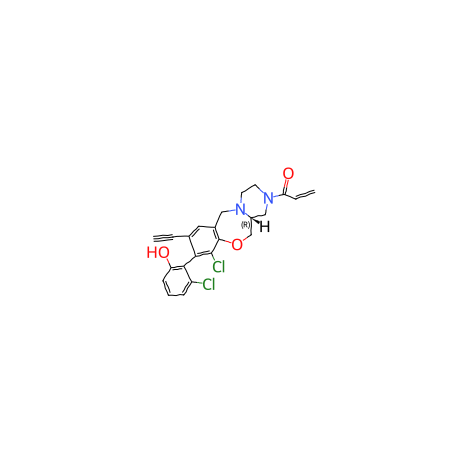 C#Cc1cc2c(c(Cl)c1-c1c(O)cccc1Cl)OC[C@H]1CN(C(=O)C=C)CCN1C2